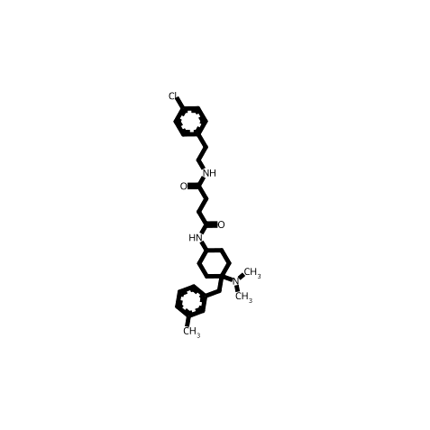 Cc1cccc(CC2(N(C)C)CCC(NC(=O)CCC(=O)NCCc3ccc(Cl)cc3)CC2)c1